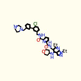 CCc1nc2c(cnn2CC)c(NC2CCOCC2)c1CNC(=O)c1cccc(C(=O)NCc2ccc(Cl)c(-c3cccc(CN4CCCN(C)CC4)c3)c2)n1